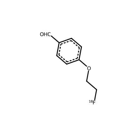 O=Cc1ccc(OCC[18F])cc1